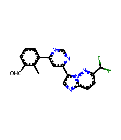 Cc1c(C=O)cccc1-c1cc(-c2cnc3ccc(C(F)F)nn23)ncn1